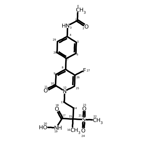 CC(=O)Nc1ccc(-c2cc(=O)n(CCC(C)(C(=O)NO)S(C)(=O)=O)cc2F)cc1